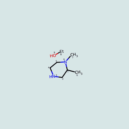 CC1CNCCN1C.CCO